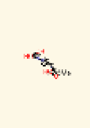 C=C1/C(=C\C=C2/CCC[C@]3(C)[C@@H]([C@H](C)/C=C/[C@@H](O)C(CC)(CC)C(=O)OC)CC[C@@H]23)C[C@@H](O)C[C@@H]1O